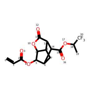 C=CC(=O)OC1C2CC3C1OC(=O)C3C2C(=O)OC(C)C(F)(F)F